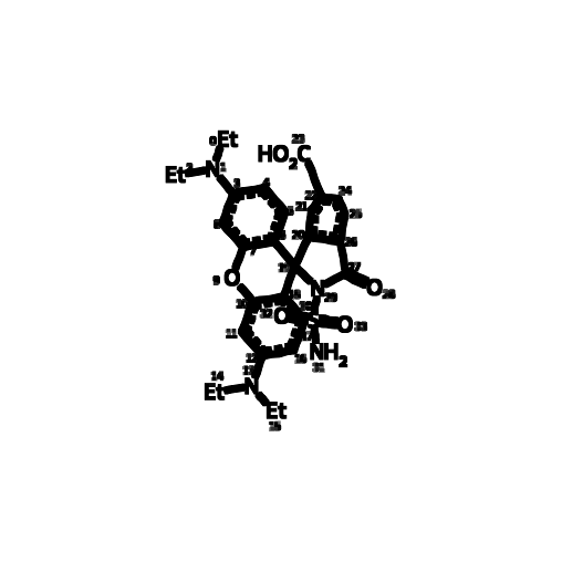 CCN(CC)c1ccc2c(c1)Oc1cc(N(CC)CC)ccc1C21c2cc(C(=O)O)ccc2C(=O)N1S(N)(=O)=O